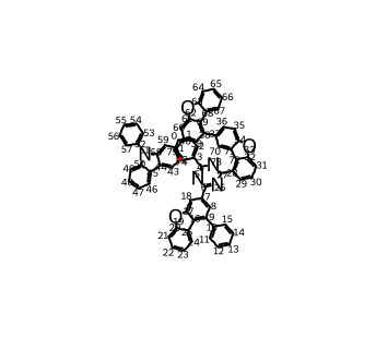 c1ccc(-c2nc(-c3cc(-c4ccccc4)c4c(c3)oc3ccccc34)nc(-c3cccc4oc5ccc(-c6cc(-c7ccc8c9ccccc9n(-c9ccccc9)c8c7)cc7oc8ccccc8c67)cc5c34)n2)cc1